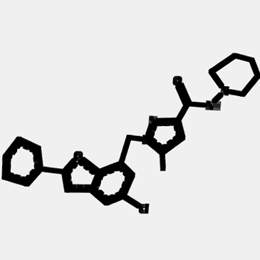 Cc1cc(C(=O)NN2CCCCC2)nn1Cc1cc(Cl)cc2cc(-c3ccccc3)oc12